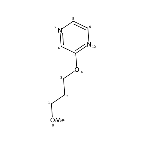 COCCCOc1cnccn1